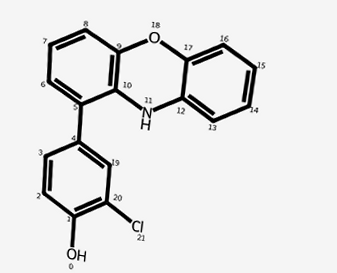 Oc1ccc(-c2cccc3c2Nc2ccccc2O3)cc1Cl